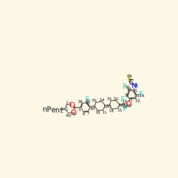 CCCCCC1COC(c2ccc(C3CCC(C4CCC(C(F)(F)Oc5cc(F)c(N=C=S)c(F)c5)CC4)CC3)c(F)c2)OC1